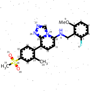 COc1cccc(F)c1CNc1ccc(-c2ccc(S(C)(=O)=O)cc2C)c2nncn12